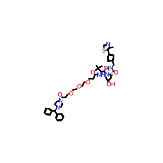 Cc1ncsc1-c1ccc(CNC(=O)[C@@H]2C[C@@H](O)CN2C(=O)[C@@H](NC(=O)CCOCCOCCOCCC(=O)N2CCN(C(c3ccccc3)c3ccccc3)CC2)C(C)(C)C)cc1